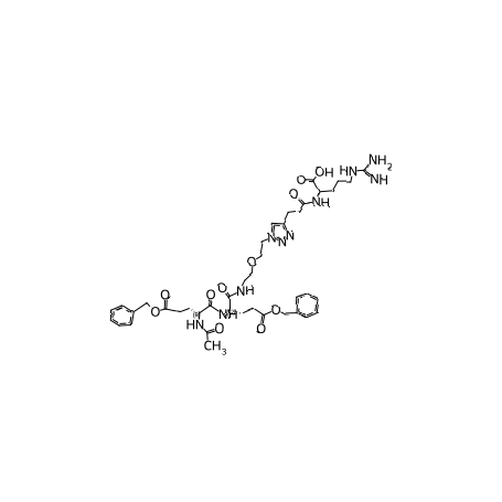 CC(=O)N[C@H](CCC(=O)OCc1ccccc1)C(=O)N[C@@H](CCC(=O)OCc1ccccc1)C(=O)NCCOCCn1cc(CCC(=O)NC(CCCNC(=N)N)C(=O)O)nn1